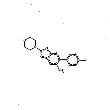 Nc1cc2sc(N3CCOCC3)nc2nc1-c1ccc(F)nc1